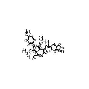 CCOc1ccc(-n2c(C)c3c(C)nnc(Nc4ccc5[nH]ccc5c4)c3c2C)cc1